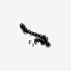 O=C(NCc1cccc(C(F)(F)F)c1)c1ccnc(-c2cc(N3CCCCC3)ccc2NC(=O)c2cccc(CSCCOCCOCCOCCOCCC(=O)N3CCC(N4CCOCC4)CC3)c2)c1